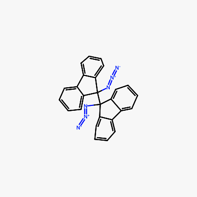 [N-]=[N+]=NC1(C2(N=[N+]=[N-])c3ccccc3-c3ccccc32)c2ccccc2-c2ccccc21